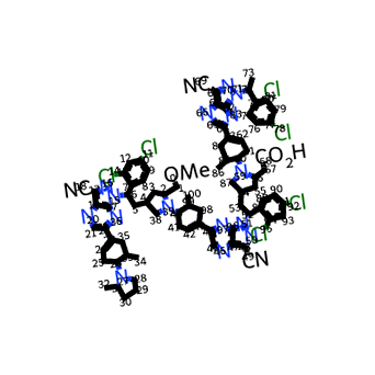 COCC1CC(CC(c2ccc(Cl)cc2Cl)n2nc(C#N)c3ncc(C4=CCC(N5CCCC5C)C(C)C4)nc32)CN1C1CC=C(c2cnc3c(C#N)nn(C(CC4CC(CC(=O)O)N(C5CC=C(c6cnc7c(C#N)nn(C(C)c8ccc(Cl)cc8Cl)c7n6)CC5C)C4)c4ccc(Cl)cc4Cl)c3n2)CC1C